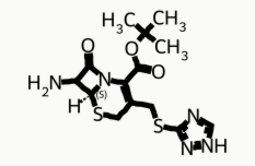 CC(C)(C)OC(=O)C1=C(CSc2nc[nH]n2)CS[C@H]2C(N)C(=O)N12